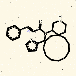 O=C(/C=C/c1ccccc1)N(Cc1cccs1)C1CNCCC12CCCCCCCCCC2